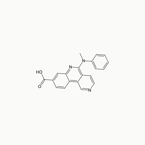 CN(c1ccccc1)c1nc2cc(C(=O)O)ccc2c2cnccc12